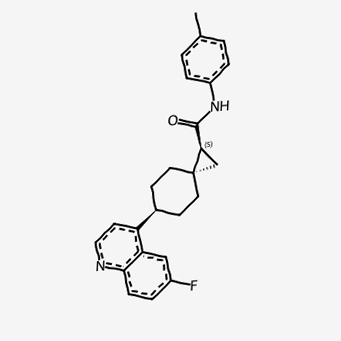 Cc1ccc(NC(=O)[C@H]2C[C@]23CC[C@H](c2ccnc4ccc(F)cc42)CC3)cc1